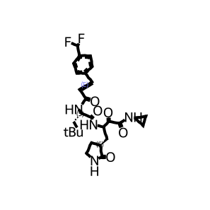 CC(C)(C)C[C@H](NC(=O)/C=C/c1ccc(C(F)F)cc1)C(=O)NC(C[C@@H]1CCNC1=O)C(=O)C(=O)NC1CC1